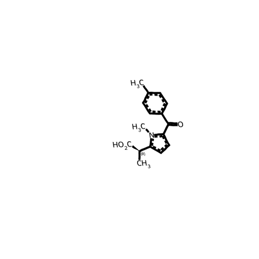 Cc1ccc(C(=O)c2ccc([C@@H](C)C(=O)O)n2C)cc1